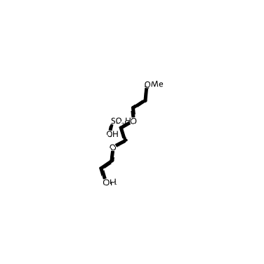 COCCOCCOCCO.O=S(=O)(O)O